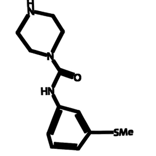 CSc1cccc(NC(=O)N2CCNCC2)c1